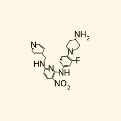 NC1CCN(c2ccc(Nc3nc(NCc4ccncc4)ccc3[N+](=O)[O-])cc2F)CC1